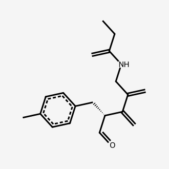 C=C(CC)NCC(=C)C(=C)[C@H](C=O)Cc1ccc(C)cc1